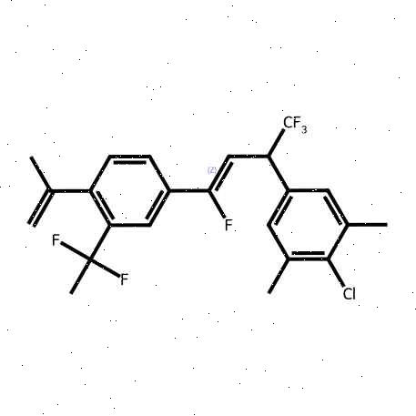 C=C(C)c1ccc(/C(F)=C/C(c2cc(C)c(Cl)c(C)c2)C(F)(F)F)cc1C(C)(F)F